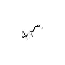 F[B-](F)(F)F.NCCN